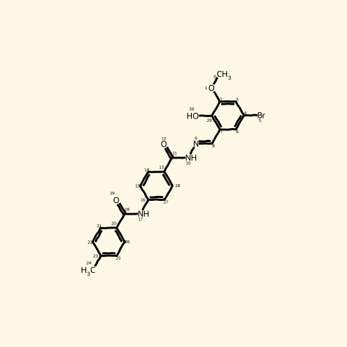 COc1cc(Br)cc(/C=N/NC(=O)c2ccc(NC(=O)c3ccc(C)cc3)cc2)c1O